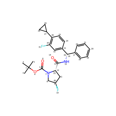 CC(C)(C)OC(=O)N1C[C@H](F)C[C@H]1C(=O)N[C@@H](c1ccccc1)c1ccc(C2CC2)c(F)c1